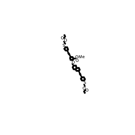 C=CC(=O)OCCSc1ccc(C#Cc2ccc(OCc3ccc4cc(C#Cc5ccc(SCCOC(=O)C=C)cc5)ccc4c3)c(C(=O)OC)c2)cc1